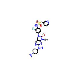 CC(C)N1C(=O)N(c2ccc(NS(=O)(=O)Cc3cccnc3)c(F)c2)Cc2cnc(NC3CCC(N(C)C)CC3)nc21